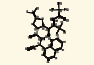 CC(C)[C@@H]1C[C@@H](C(=O)NC(C#N)c2cncc3cccnc23)N(C(=O)[C@@H](NC(=O)C(F)(F)F)C(C)(C)C)C1